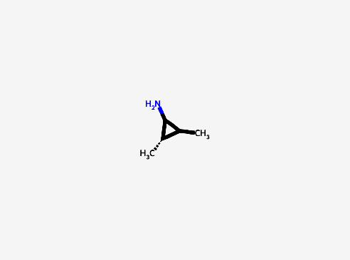 CC1C(N)[C@H]1C